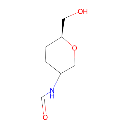 O=CNC1CC[C@@H](CO)OC1